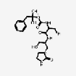 CC(C)CC(NC(=O)OC(C)(C)Cc1ccccc1)C(=O)NC(CO)C[C@@H]1CCNC1=O